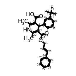 CC1=C(C(=O)O)C(c2cccc(C(F)(F)F)c2)C(C(=O)OC/C=C/c2ccccc2)=C(C)N1